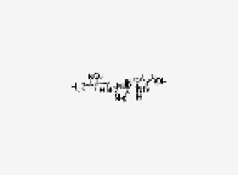 Cc1cc(CNc2nccc(Nc3cc(CO)n[nH]3)n2)on1